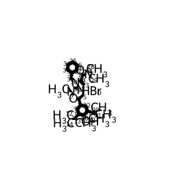 Br.CN=c1n(CC(=O)c2cc(C(C)(C)C)c(O)c(C(C)(C)C)c2)cc(C(=O)N(C)C)n1Cc1ccccc1